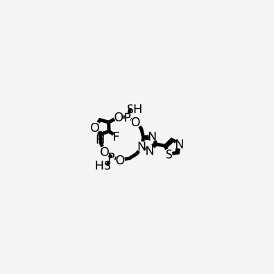 FC1C2CO[C@@H]1COP(S)OCCn1nc(-c3cncs3)nc1COP(S)O2